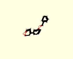 C1=C(c2cccc(OCc3ccccc3)c2)CCOC1